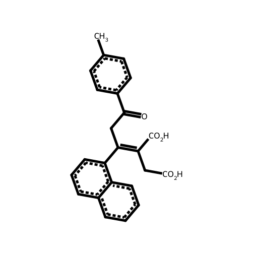 Cc1ccc(C(=O)CC(=C(CC(=O)O)C(=O)O)c2cccc3ccccc23)cc1